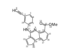 C#Cc1cccc(Nc2nc3c(C(=O)OC)cccc3c3sccc23)c1